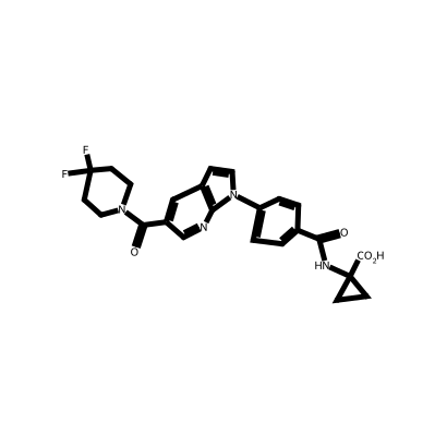 O=C(NC1(C(=O)O)CC1)c1ccc(-n2ccc3cc(C(=O)N4CCC(F)(F)CC4)cnc32)cc1